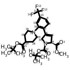 COC(=O)[C@@H]1C=C(c2ccc(C(F)(F)F)cc2N2CCC(C(=O)OC(C)(C)C)CC2)CN1C(=O)OC(C)(C)C